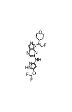 FC[C@H](C1CCOCC1)n1ncc2ncc(Nc3cc(OC(F)F)[nH]n3)nc21